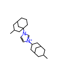 CC1CC2CC(C1)CC([n+]1ccn(C34CCCC(CC(C)C3)C4)c1)C2